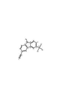 Cn1c2ccc(C#N)cc2c2cc(C(C)(C)C)ccc21